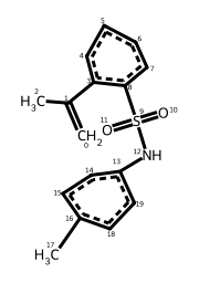 C=C(C)c1ccccc1S(=O)(=O)Nc1ccc(C)cc1